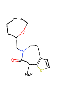 CNC1C(=O)N(CC2CCCCCO2)CCc2ccsc21